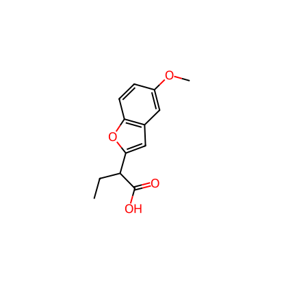 CCC(C(=O)O)c1cc2cc(OC)ccc2o1